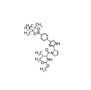 COC(=O)NC(C(=O)N1CC=CC1c1nc(-c2ccc(B3OC(C)(C)C(C)(C)O3)cc2)c[nH]1)C(C)C